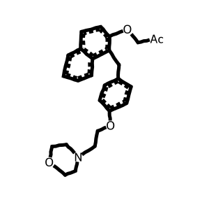 CC(=O)COc1ccc2ccccc2c1Cc1ccc(OCCN2CCOCC2)cc1